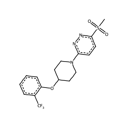 CS(=O)(=O)c1ccc(N2CCC(Oc3ccccc3C(F)(F)F)CC2)nn1